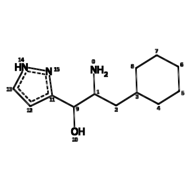 NC(CC1CCCCC1)C(O)c1cc[nH]n1